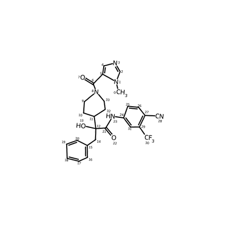 Cn1cncc1C(=O)N1CCC(C(O)(Cc2ccccc2)C(=O)Nc2ccc(C#N)c(C(F)(F)F)c2)CC1